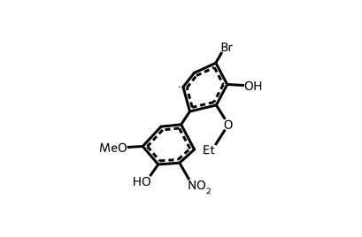 CCOc1c(-c2cc(OC)c(O)c([N+](=O)[O-])c2)[c]cc(Br)c1O